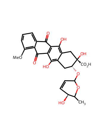 COc1cccc2c1C(=O)c1c(O)c3c(c(O)c1C2=O)C[C@@](O)(C(=O)O)[C@H](OC1C=C[C@H](O)C(C)O1)C3